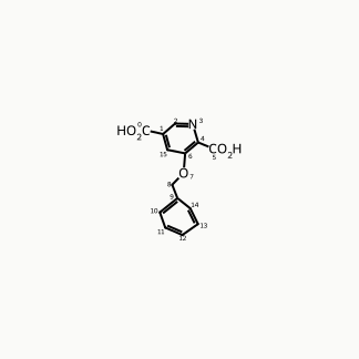 O=C(O)c1cnc(C(=O)O)c(OCc2ccccc2)c1